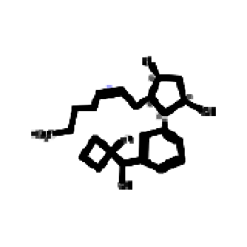 CCCC1(C(O)c2cccc([C@@H]3[C@@H](C/C=C\CCCC(=O)O)[C@@H](Cl)C[C@H]3O)c2)CCC1